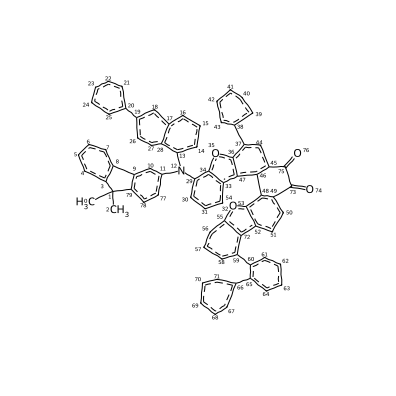 CC1(C)c2ccccc2-c2cc(N(c3cccc4cc(-c5ccccc5)ccc34)c3cccc4c3oc3c(-c5ccccc5)cc5c(c34)-c3c(ccc4c3oc3cccc(-c6ccccc6-c6ccccc6)c34)C(=O)C5=O)ccc21